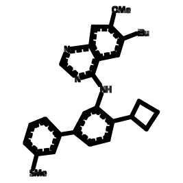 CCC(C)c1cc2c(Nc3cc(-c4cccc(SC)c4)ccc3C3CCC3)ncnc2cc1OC